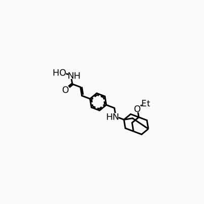 CCOC12CC3CC(CC(NCc4ccc(C=CC(=O)NO)cc4)(C3)C1)C2